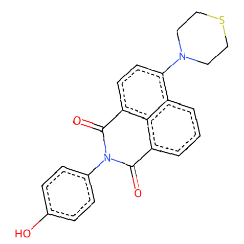 O=C1c2cccc3c(N4CCSCC4)ccc(c23)C(=O)N1c1ccc(O)cc1